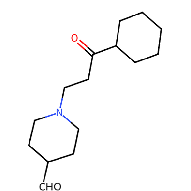 O=CC1CCN(CCC(=O)C2CCCCC2)CC1